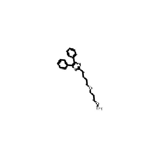 CCCOCCCOCCCCC1=NC(c2ccccc2)=C(c2ccccc2)[N]1